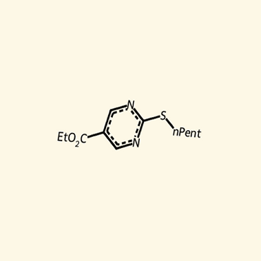 CCCCCSc1ncc(C(=O)OCC)cn1